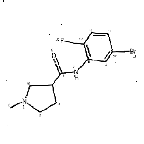 CN1CCC(C(=O)Nc2cc(Br)ccc2F)C1